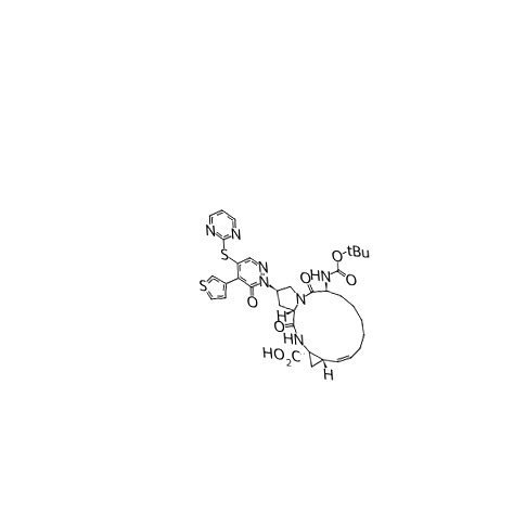 CC(C)(C)OC(=O)N[C@H]1CCCCC/C=C\[C@@H]2C[C@@]2(C(=O)O)NC(=O)[C@@H]2C[C@@H](n3ncc(Sc4ncccn4)c(-c4ccsc4)c3=O)CN2C1=O